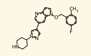 Cc1ccc(F)cc1COn1ccc2ncc(-c3cnn(C4CCNCC4)c3)cc21